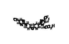 C[C@@H]1C(C(F)(F)F)=NN(c2ccc(OC3CCN(c4ncc(Cl)cn4)CC3)cc2)[C@H]1CC(=O)O